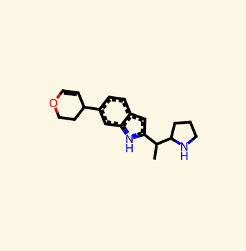 CC(c1cc2ccc(C3C=COCC3)cc2[nH]1)C1CCCN1